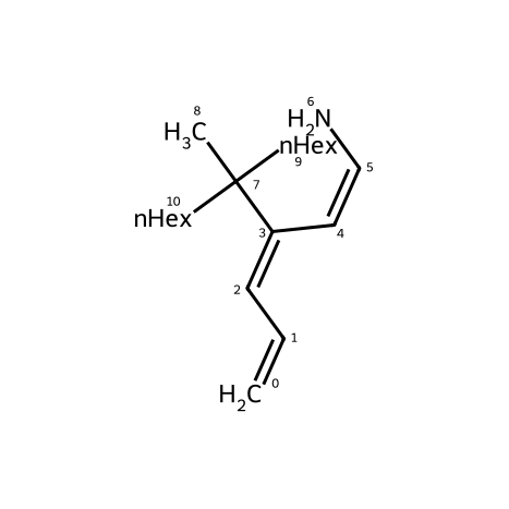 C=C/C=C(\C=C/N)C(C)(CCCCCC)CCCCCC